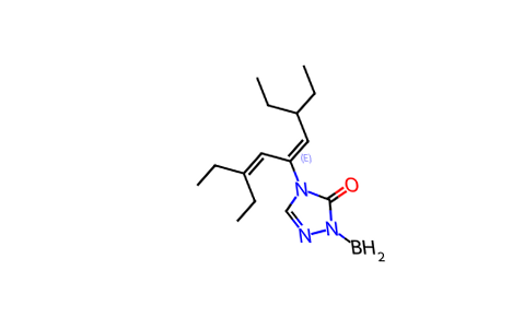 Bn1ncn(/C(C=C(CC)CC)=C/C(CC)CC)c1=O